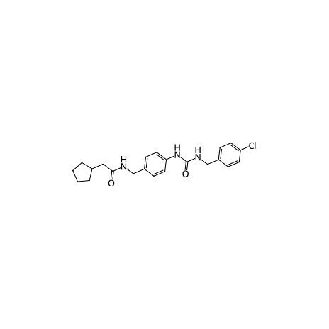 O=C(CC1CCCC1)NCc1ccc(NC(=O)NCc2ccc(Cl)cc2)cc1